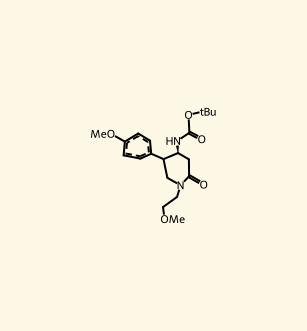 COCCN1CC(c2ccc(OC)cc2)[C@@H](NC(=O)OC(C)(C)C)CC1=O